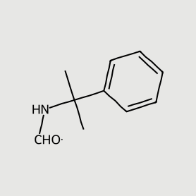 CC(C)(N[C]=O)c1ccccc1